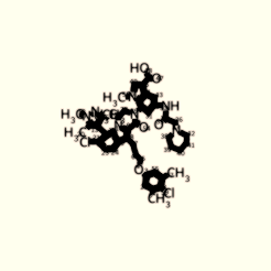 Cc1cc(OCCCc2c3n(c4c(-c5c(C)nn(C)c5C)c(Cl)ccc24)C(C)CN(c2cc(NC(=O)CN4CCCCC4)cc4c(C(=O)O)cn(C)c24)C3=O)cc(C)c1Cl